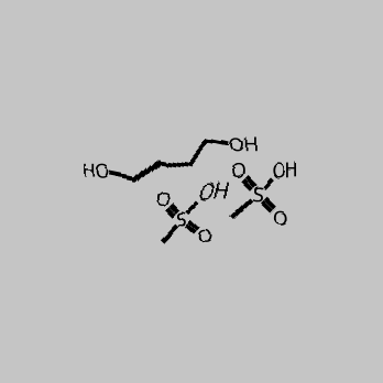 CS(=O)(=O)O.CS(=O)(=O)O.OCCCCO